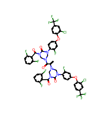 C=C(C(=O)N1CN(C(=O)c2c(F)cccc2F)C(=O)N(c2ccc(Oc3ccc(C(F)(F)F)cc3Cl)cc2F)C1)N1CN(C(=O)c2c(F)cccc2F)C(=O)N(c2ccc(Oc3ccc(C(F)(F)F)cc3Cl)cc2F)C1